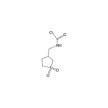 O=C(Cl)NCC1CCS(=O)(=O)C1